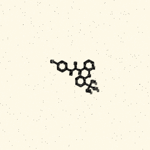 CC(C)(C)c1ccccc1Oc1ncccc1NC(=O)Nc1ccc(Cl)cc1